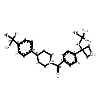 [2H]C([2H])([2H])OC1(c2ccc(C(=O)N3CCC(c4ccc(C(F)(F)F)cc4)CC3)cc2)COC1